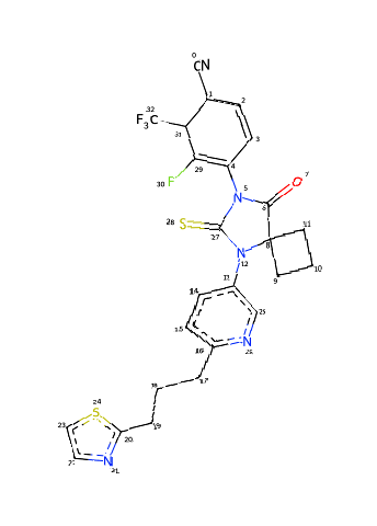 N#CC1C=CC(N2C(=O)C3(CCC3)N(c3ccc(CCCc4nccs4)nc3)C2=S)=C(F)C1C(F)(F)F